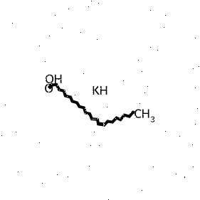 CCCCCCCC/C=C\CCCCCCCCCCCCCC(=O)O.[KH]